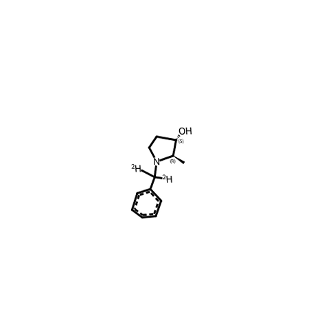 [2H]C([2H])(c1ccccc1)N1CC[C@H](O)[C@H]1C